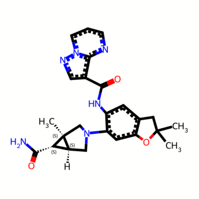 CC1(C)Cc2cc(NC(=O)c3cnn4cccnc34)c(N3C[C@H]4[C@H](C(N)=O)[C@@]4(C)C3)cc2O1